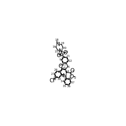 COC(=O)c1c(Cc2ccc(S(=O)(=O)N3CCN(C)CC3)cc2)c(=O)c2ccc(Cl)cc2n1-c1ccccc1